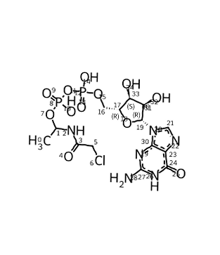 CC(NC(=O)CCl)OP(=O)(O)OP(=O)(O)OC[C@H]1O[C@@H](n2cnc3c(=O)[nH]c(N)nc32)[C@H](O)[C@@H]1O